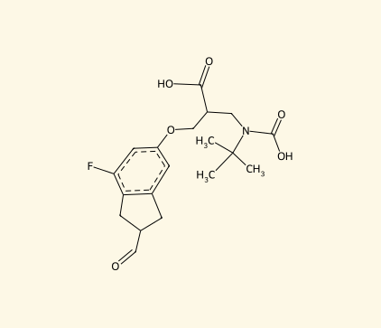 CC(C)(C)N(CC(COc1cc(F)c2c(c1)CC(C=O)C2)C(=O)O)C(=O)O